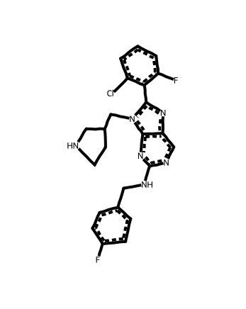 Fc1ccc(CNc2ncc3nc(-c4c(F)cccc4Cl)n(CC4CCNC4)c3n2)cc1